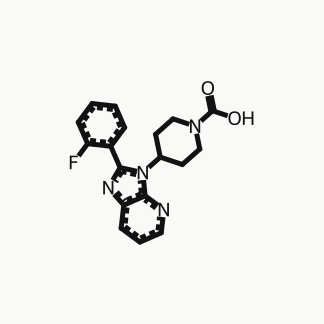 O=C(O)N1CCC(n2c(-c3ccccc3F)nc3cccnc32)CC1